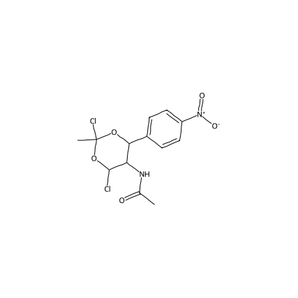 CC(=O)NC1C(Cl)OC(C)(Cl)OC1c1ccc([N+](=O)[O-])cc1